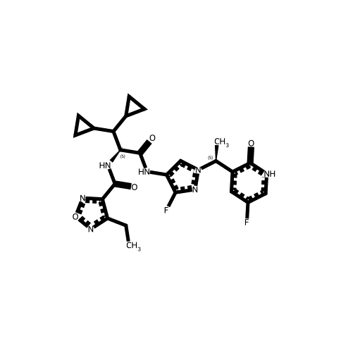 CCc1nonc1C(=O)N[C@H](C(=O)Nc1cn([C@@H](C)c2cc(F)c[nH]c2=O)nc1F)C(C1CC1)C1CC1